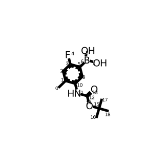 Cc1cc(F)c(B(O)O)cc1NC(=O)OC(C)(C)C